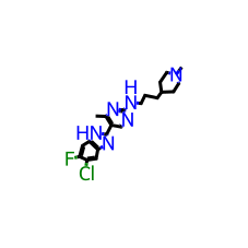 Cc1nc(NCCCC2CCN(C)CC2)ncc1-c1nc2cc(Cl)c(F)cc2[nH]1